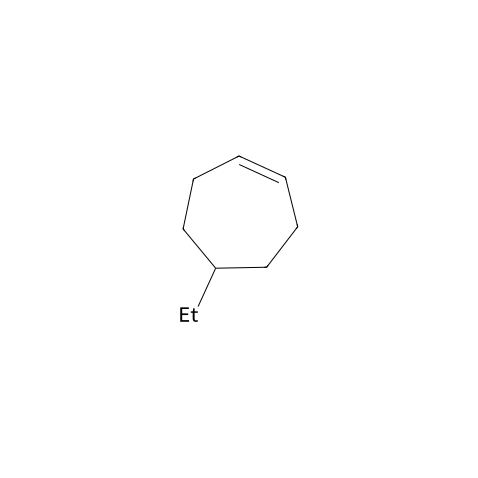 CCC1CCC=CCC1